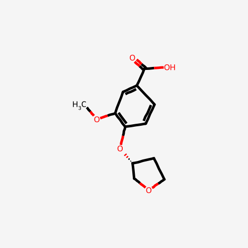 COc1cc(C(=O)O)ccc1O[C@@H]1CCOC1